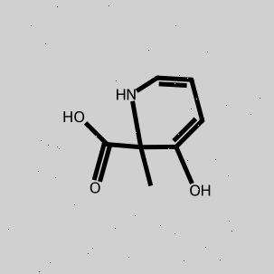 CC1(C(=O)O)NC=CC=C1O